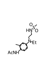 CCN(CCNS(C)(=O)=O)c1ccc(NC(C)=O)c(C)c1